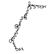 O=C(CSCSCSCC[S+]([O-])CSCSCSC(=O)CSCSCSCC(=O)SCSCSCO)SCSCSCO